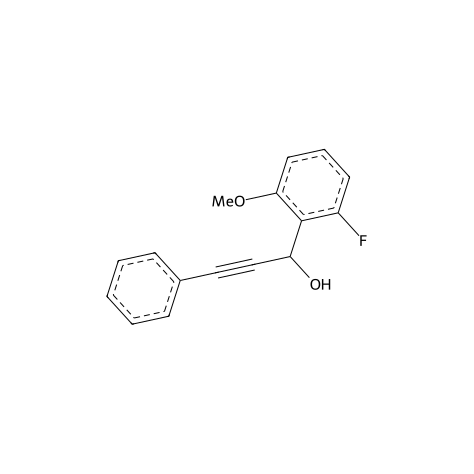 COc1cccc(F)c1C(O)C#Cc1ccccc1